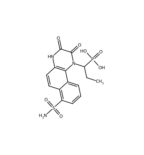 CCC(n1c(=O)c(=O)[nH]c2ccc3c(S(N)(=O)=O)cccc3c21)P(=O)(O)O